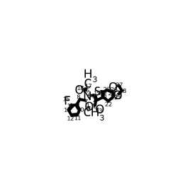 COC(=O)c1c(N(CCc2ccccc2F)C(C)=O)sc2c1CCC1(C2)OCCO1